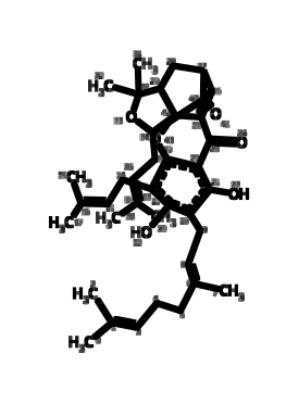 CC(C)=CCC/C(C)=C/Cc1c(O)c(CC=C(C)C)c2c(c1O)C(=O)C1=CC3CC4C(C)(C)OC(CC=C(C)C)(C3=O)[C@@]14O2